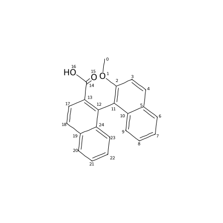 COc1ccc2ccccc2c1-c1c(C(=O)O)ccc2ccccc12